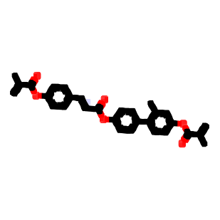 C=C(C)C(=O)Oc1ccc(/C=C/C(=O)Oc2ccc(-c3ccc(OC(=O)C(=C)C)cc3C)cc2)cc1